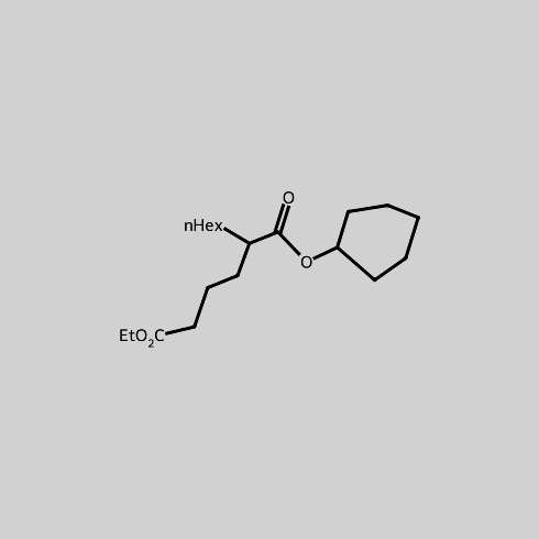 CCCCCCC(CCCC(=O)OCC)C(=O)OC1CCCCC1